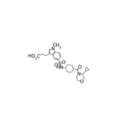 Cn1cc(CCC(=O)O)c2cc(S(=O)(=O)NC3CCC(C(=O)N4CCOCC4C4CC4)CC3)ccc21